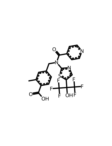 Cc1cc(CN(C(=O)c2ccncc2)c2ncc(C(O)(C(F)(F)F)C(F)(F)F)s2)ccc1C(=O)O